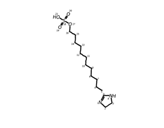 C1=NCCN1.CCCCCCCCCCCCOS(=O)(=O)O